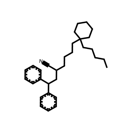 CCCCCC1(CCCCC(C#N)CC(c2ccccc2)c2ccccc2)CCCCC1